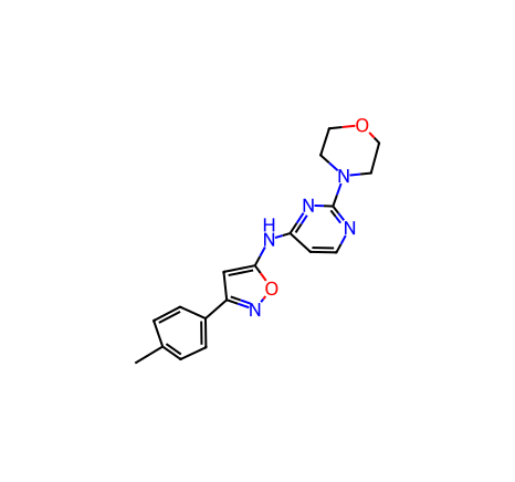 Cc1ccc(-c2cc(Nc3ccnc(N4CCOCC4)n3)on2)cc1